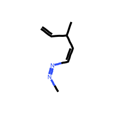 C=CC(C)/C=C\N=N/C